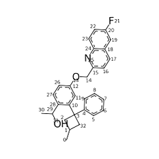 CC1CC(c2ccccc2)(c2cc(OCc3ccc4cc(F)ccc4n3)ccc2C(C)O)C1